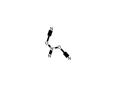 N#CO[N+](=[N-])OC#N